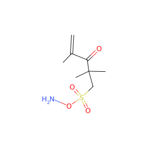 C=C(C)C(=O)C(C)(C)CS(=O)(=O)ON